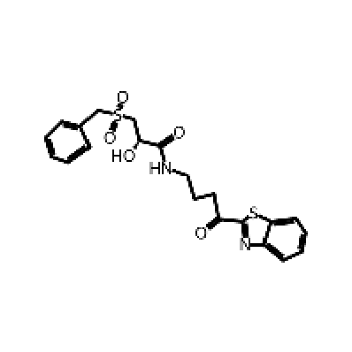 O=C(CCCNC(=O)[C@@H](O)CS(=O)(=O)Cc1ccccc1)c1nc2ccccc2s1